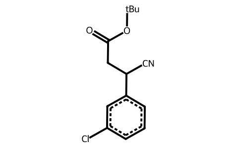 CC(C)(C)OC(=O)CC(C#N)c1cccc(Cl)c1